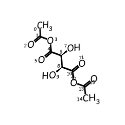 CC(=O)OC(=O)[C@@H](O)[C@H](O)C(=O)OC(C)=O